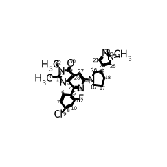 Cc1nc2c(-c3ccc(Cl)cc3F)nc(N3CCC[C@@H](c4cnn(C)c4)C3)cc2c(=O)n1C